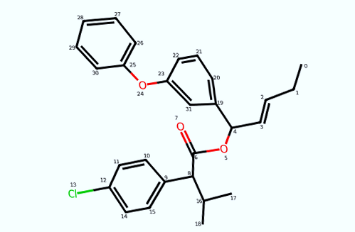 CCC=CC(OC(=O)C(c1ccc(Cl)cc1)C(C)C)c1cccc(Oc2ccccc2)c1